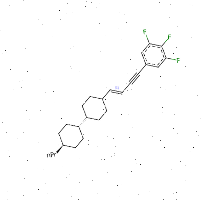 CCC[C@H]1CC[C@H](C2CCC(/C=C/C#Cc3cc(F)c(F)c(F)c3)CC2)CC1